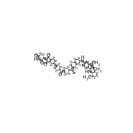 Cc1cccc(C)c1Nc1nn(C)c2nc(Nc3ccc4c(c3)CN(C(=S)C3CCN(C(=O)C5CCN(c6ccc7c(c6)C(=O)N(C6CCC(=O)NC6=O)C7=O)CC5)CC3)CC4)ncc12